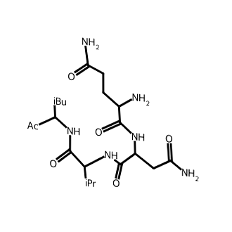 CCC(C)C(NC(=O)C(NC(=O)C(CC(N)=O)NC(=O)C(N)CCC(N)=O)C(C)C)C(C)=O